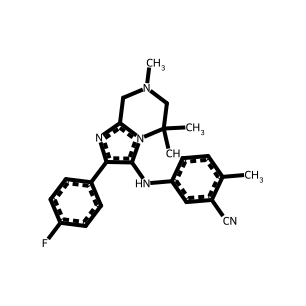 Cc1ccc(Nc2c(-c3ccc(F)cc3)nc3n2C(C)(C)CN(C)C3)cc1C#N